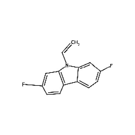 C=Cn1c2cc(F)ccc2c2ccc(F)cc21